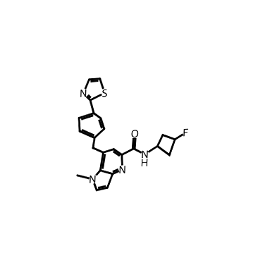 Cn1ccc2nc(C(=O)NC3CC(F)C3)cc(Cc3ccc(-c4nccs4)cc3)c21